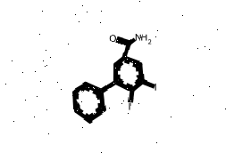 NC(=O)c1cc(I)c(I)c(-c2ccccc2)c1